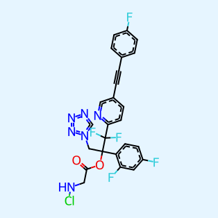 O=C(CNCl)OC(Cn1cnnn1)(c1ccc(F)cc1F)C(F)(F)c1ccc(C#Cc2ccc(F)cc2)cn1